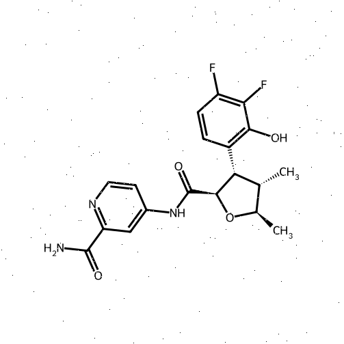 C[C@H]1[C@@H](c2ccc(F)c(F)c2O)[C@H](C(=O)Nc2ccnc(C(N)=O)c2)O[C@@H]1C